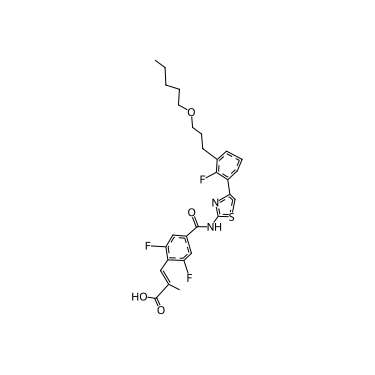 CCCCCOCCCc1cccc(-c2csc(NC(=O)c3cc(F)c(/C=C(\C)C(=O)O)c(F)c3)n2)c1F